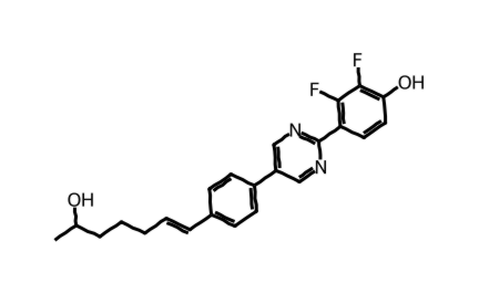 CC(O)CCCC=Cc1ccc(-c2cnc(-c3ccc(O)c(F)c3F)nc2)cc1